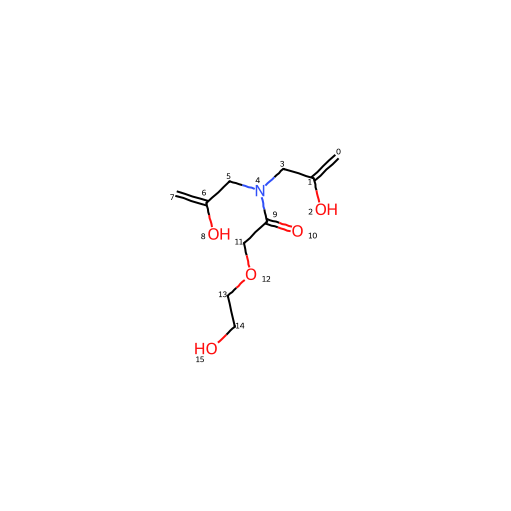 C=C(O)CN(CC(=C)O)C(=O)COCCO